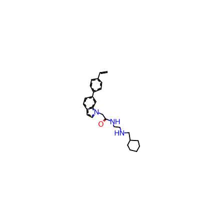 C=Cc1ccc(-c2ccc3ccn(CC(=O)NCCNCC4CCCCC4)c3c2)cc1